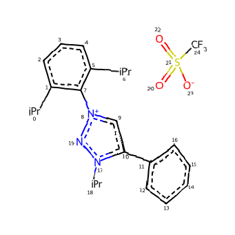 CC(C)c1cccc(C(C)C)c1-[n+]1cc(-c2ccccc2)n(C(C)C)n1.O=S(=O)([O-])C(F)(F)F